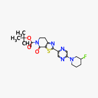 CC(C)(C)OC(=O)N1CCc2nc(-c3cnc(N4CCC[C@H](F)C4)cn3)sc2C1=O